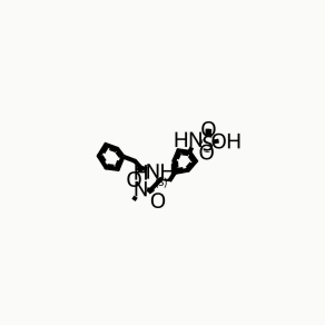 CNC(=O)[C@H](Cc1ccc(NS(=O)(=O)O)cc1)NC(=O)Cc1ccccc1